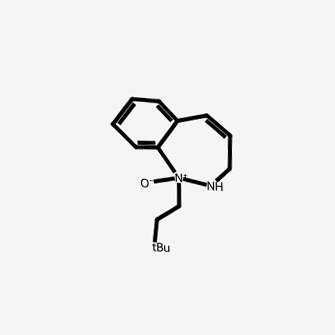 CC(C)(C)CC[N+]1([O-])NCC=Cc2ccccc21